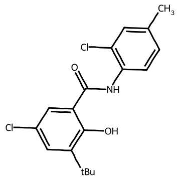 Cc1ccc(NC(=O)c2cc(Cl)cc(C(C)(C)C)c2O)c(Cl)c1